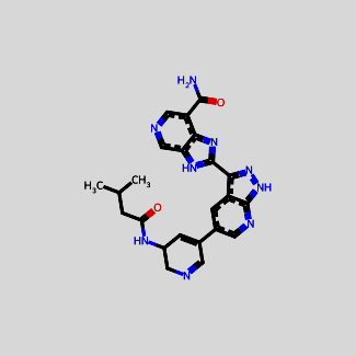 CC(C)CC(=O)NC1C=C(c2cnc3[nH]nc(-c4nc5c(C(N)=O)cncc5[nH]4)c3c2)C=NC1